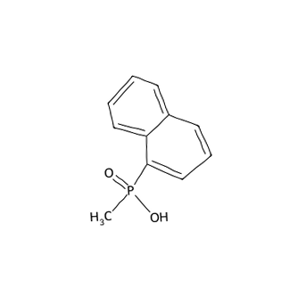 CP(=O)(O)c1cccc2ccccc12